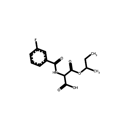 CCC(C)OC(=O)C(NC(=O)c1cccc(F)c1)C(=O)O